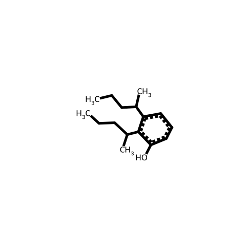 CCCC(C)c1cccc(O)c1C(C)CCC